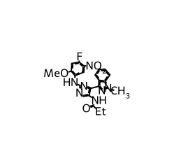 CCC(=O)Nc1cnc(Nc2cc([N+](=O)[O-])c(F)cc2OC)nc1-c1nn(C)c2ccccc12